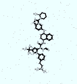 C[C@H]1CCCCN1c1nnc2ccc(O[C@@H]3CC[C@H](NC(=O)N(OC=O)c4cc(C(C)(C)C)nn4-c4cccc(CCN(C)C)c4)c4ccccc43)cn12